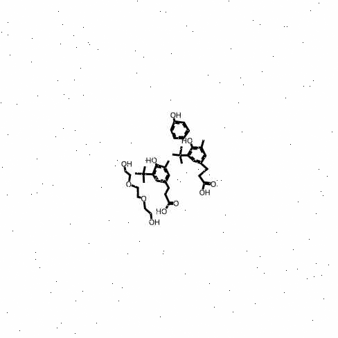 Cc1cc(CCC(=O)O)cc(C(C)(C)C)c1O.Cc1cc(CCC(=O)O)cc(C(C)(C)C)c1O.OCCOCCOCCO.Oc1ccccc1